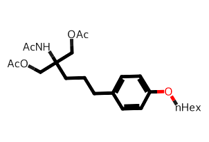 CCCCCCOc1ccc(CCCC(COC(C)=O)(COC(C)=O)NC(C)=O)cc1